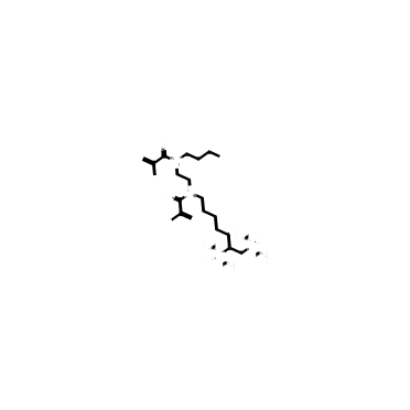 C=C(C)C(=O)N(CCCC)CCN(CCCCCC(CP(=O)(O)O)P(=O)(O)O)C(=O)C(=C)C